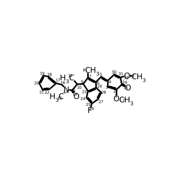 COC1=CC(=CC2=C(C)C(C(C)C(=O)N(C)Cc3ccccc3)c3cc(F)ccc32)C=C(OC)C1=O